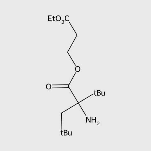 CCOC(=O)CCOC(=O)C(N)(CC(C)(C)C)C(C)(C)C